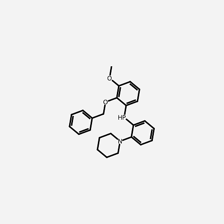 COc1cccc(Pc2ccccc2N2CCCCC2)c1OCc1ccccc1